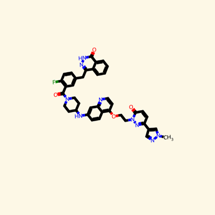 Cn1cc(-c2ccc(=O)n(CCOc3ccnc4cc(NC5CCN(C(=O)c6cc(Cc7n[nH]c(=O)c8ccccc78)ccc6F)CC5)ccc34)n2)cn1